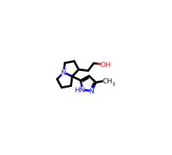 Cc1cc(C23CCCN2CCC3CCO)[nH]n1